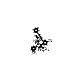 COC(=O)C1=C(C)N(c2cccc(C(F)(F)F)c2)c2n[nH]c(=O)n2C1c1ccc(C#N)cc1CC[n+]1ccn(-c2ccccc2)c1